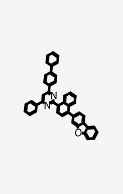 c1ccc(-c2ccc(-c3cc(-c4ccccc4)nc(-c4ccc(-c5ccc6c(c5)oc5ccccc56)c5ccccc45)n3)cc2)cc1